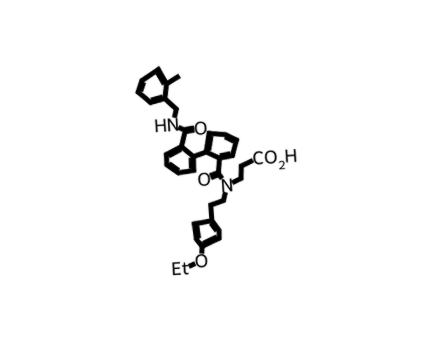 CCOc1ccc(CCN(CCC(=O)O)C(=O)c2ccccc2-c2ccccc2C(=O)NCc2ccccc2C)cc1